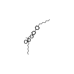 CCCCCCCC(=O)OC(C)COc1ccc(-c2ccc(CCCCCCC)cc2)cc1